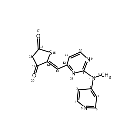 CN(c1ccncc1)c1nccc(/C=C2\SC(=O)CC2=O)n1